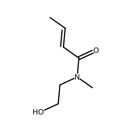 CC=CC(=O)N(C)CCO